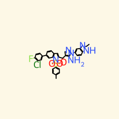 Cc1ccc(S(=O)(=O)n2c(C(=O)c3cnn(-c4ccc5[nH]c(C)nc5c4)c3N)cc3ccc(-c4ccc(F)c(Cl)c4)cc32)cc1